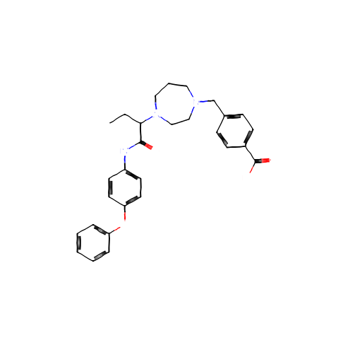 CCC(C(=O)Nc1ccc(Oc2ccccc2)cc1)N1CCCN(Cc2ccc(C(=O)O)cc2)CC1